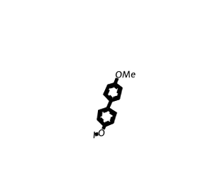 COc1ccc(-c2ccc(OI)cc2)cc1